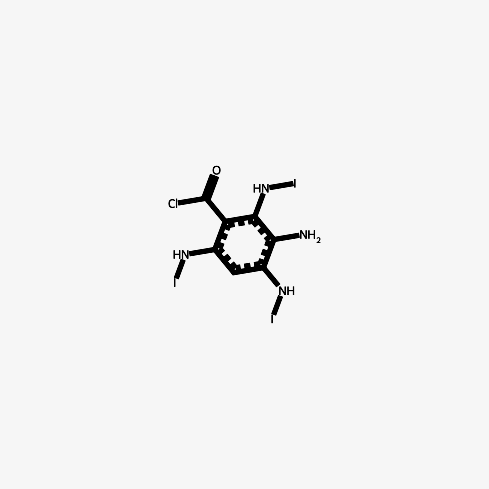 Nc1c(NI)cc(NI)c(C(=O)Cl)c1NI